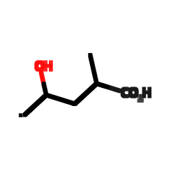 [CH2]C(O)CC(C)C(=O)O